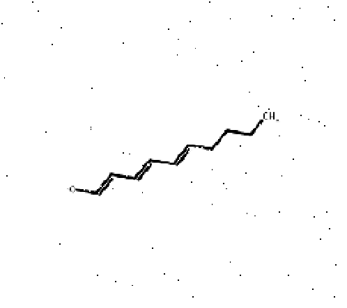 CCCCC=CC=CC=C[O]